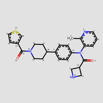 Cc1ncccc1N(C(=O)C1CNC1)c1ccc(C2CCN(C(=O)c3ccsc3)CC2)cc1